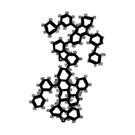 c1ccc(-c2cccc(-c3c4ccccc4c(-c4cccc(-c5ccccc5)c4)c4cc(-c5cccc6oc7c(-c8ccc9c(-c%10cccc(-c%11ccccc%11)c%10)c%10cc(-c%11cccc%12oc%13ccccc%13c%11%12)ccc%10c(-c%10ccccc%10-c%10ccccc%10)c9c8)cccc7c56)ccc34)c2)cc1